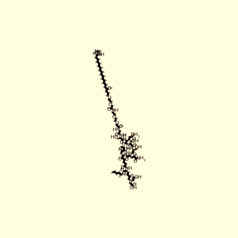 CCCC[C@@H](C)NC(=O)[C@H](CCCCN(CC(=O)O)CC(=O)O)NC(=O)CCCC(=O)[C@H](CC1=CCC=N1)NC(=O)[C@H](CCC(N)=O)NC(=O)[C@H](CO)NC(=O)[C@H](CO)NC(=O)[C@H](CCC(N)=O)NC(=O)[C@@H](CO)NC(=O)CNC(=O)COCCOCCNC(=O)COCCOCCCC(=O)CCCCCCCCCCCCCCCc1nnn[nH]1